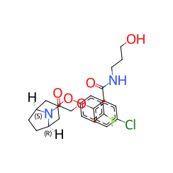 O=C(NCCCO)c1cc(Cl)ccc1OCC(=O)N1[C@@H]2CC[C@H]1CC(Oc1ccc(F)cc1)C2